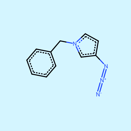 [N-]=[N+]=Nc1ccn(Cc2ccccc2)c1